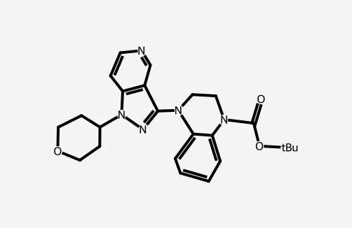 CC(C)(C)OC(=O)N1CCN(c2nn(C3CCOCC3)c3ccncc23)c2ccccc21